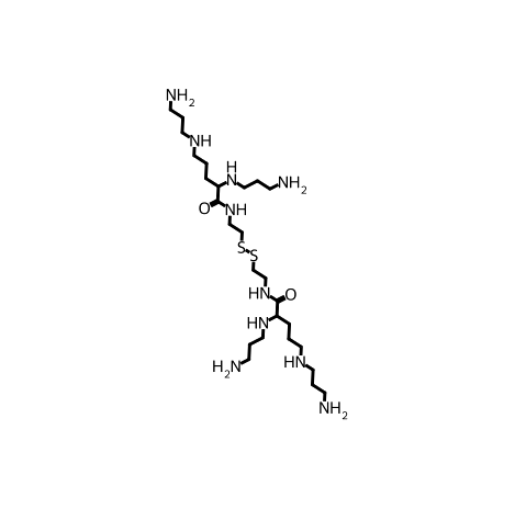 NCCCNCCCC(NCCCN)C(=O)NCCSSCCNC(=O)C(CCCNCCCN)NCCCN